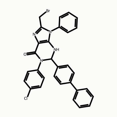 O=C1c2nc(CBr)n(-c3ccccc3)c2NC(c2ccc(-c3ccccc3)cc2)N1c1ccc(Cl)cc1